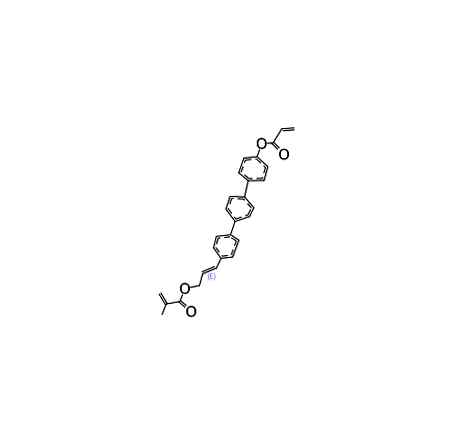 C=CC(=O)Oc1ccc(-c2ccc(-c3ccc(/C=C/COC(=O)C(=C)C)cc3)cc2)cc1